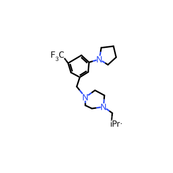 C[C](C)CN1CCN(Cc2cc(N3CCCC3)cc(C(F)(F)F)c2)CC1